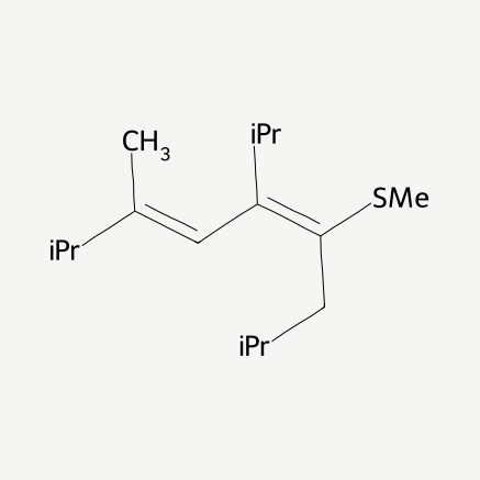 CS/C(CC(C)C)=C(/C=C(\C)C(C)C)C(C)C